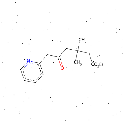 CCOC(=O)CC(C)(C)CC(=O)Cc1ccccn1